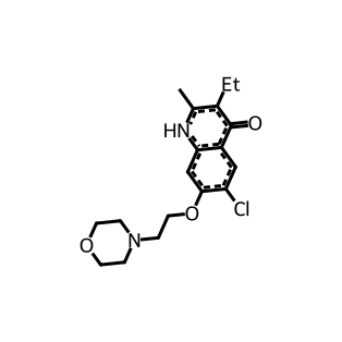 CCc1c(C)[nH]c2cc(OCCN3CCOCC3)c(Cl)cc2c1=O